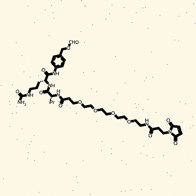 CC(C)[C@@H](NC(=O)CCOCCOCCOCCOCCNC(=O)CCN1C(=O)C=CC1=O)C(=O)N[C@H](CCCNC(N)=O)C(=O)Nc1ccc(COC=O)cc1